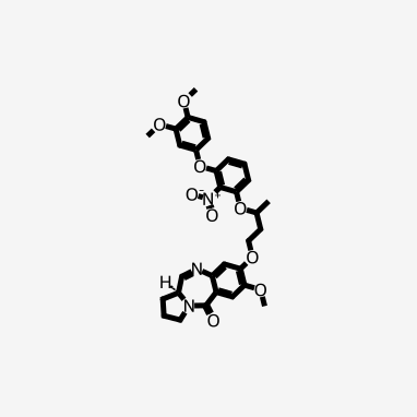 COc1ccc(Oc2cccc(OC(C)CCOc3cc4c(cc3OC)C(=O)N3CCC[C@H]3C=N4)c2[N+](=O)[O-])cc1OC